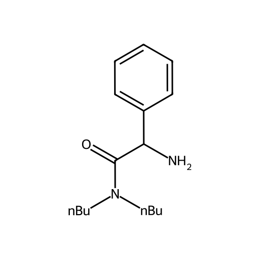 CCCCN(CCCC)C(=O)C(N)c1ccccc1